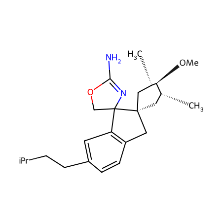 CO[C@H]1[C@H](C)C[C@@]2(Cc3ccc(CCC(C)C)cc3C23COC(N)=N3)C[C@@H]1C